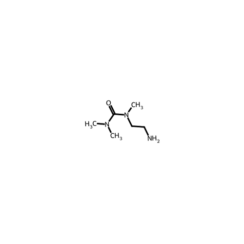 CN(C)C(=O)N(C)CCN